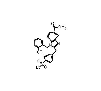 CCS(=O)(=O)c1ccc(Cc2nc3cc(C(N)=O)ccc3n2Cc2ccccc2C(F)(F)F)cc1